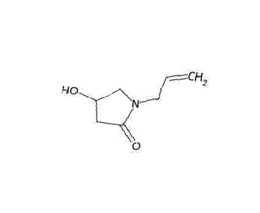 C=CCN1CC(O)CC1=O